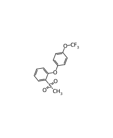 CS(=O)(=O)c1ccccc1Oc1ccc(OC(F)(F)F)cc1